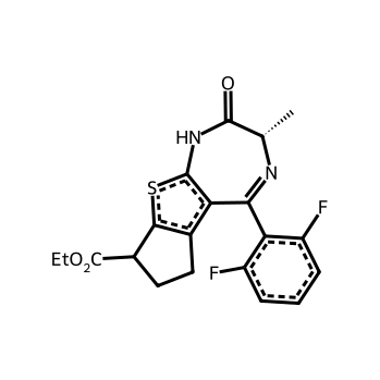 CCOC(=O)C1CCc2c1sc1c2C(c2c(F)cccc2F)=N[C@@H](C)C(=O)N1